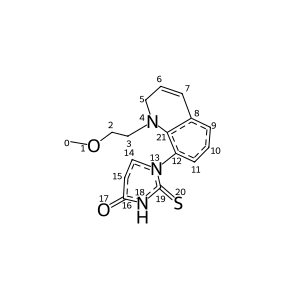 COCCN1CC=Cc2cccc(-n3ccc(=O)[nH]c3=S)c21